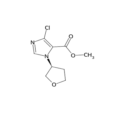 COC(=O)c1c(Cl)ncn1[C@H]1CCOC1